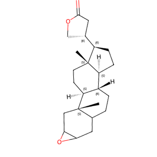 C[C@]12CC[C@H]3[C@@H](CCC4CC5OC5C[C@@]43C)[C@@H]1CC[C@@H]2[C@@H]1COC(=O)C1